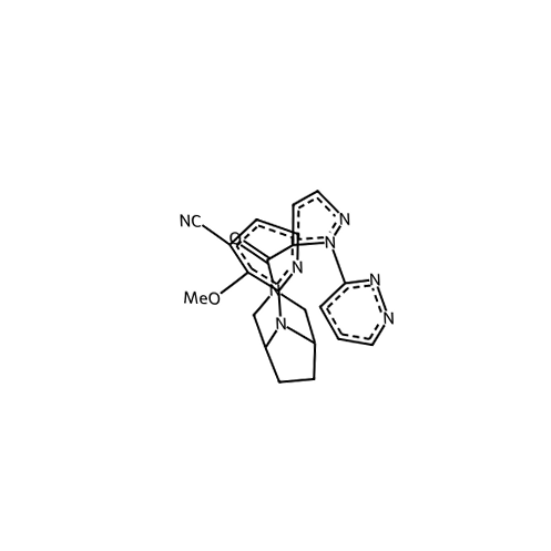 COc1c(C#N)ccnc1N1C2CCC1CN(C(=O)c1ccnn1-c1cccnn1)C2